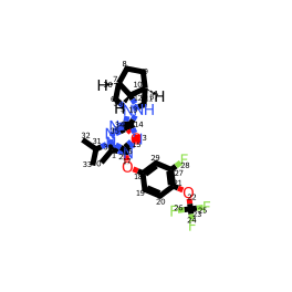 Cc1noc(N2C[C@H]3CC[C@@H](C2)[C@@H]3Nc2nc(Oc3ccc(OC(F)(F)F)c(F)c3)n(C(C)C)n2)n1